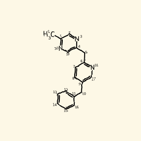 Cc1cnc(Cc2ccc(Cc3ccccc3)cn2)cn1